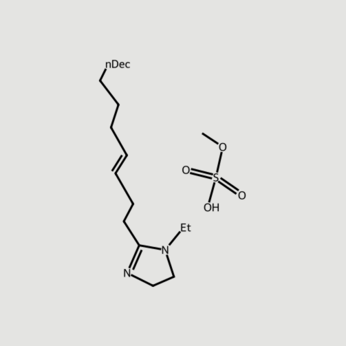 CCCCCCCCCCCCCC=CCCC1=NCCN1CC.COS(=O)(=O)O